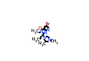 CCC[C@@H](c1nc2ncc(Br)cc2c(=O)n1CC)N1CCN(C)CC(C)C1